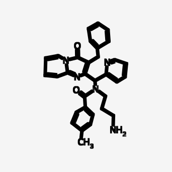 Cc1ccc(C(=O)N(CCCN)C(c2ccccn2)c2nc3ccccn3c(=O)c2Cc2ccccc2)cc1